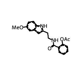 COc1ccc2[nH]c(CCNC(=O)c3ccccc3OC(C)=O)cc2c1